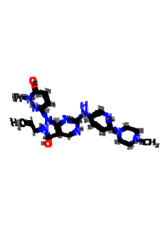 C=CCn1c(=O)c2cnc(Nc3ccc(N4CCN(C)CC4)nc3)nc2n1-c1ccc(=O)n(C(C)C)n1